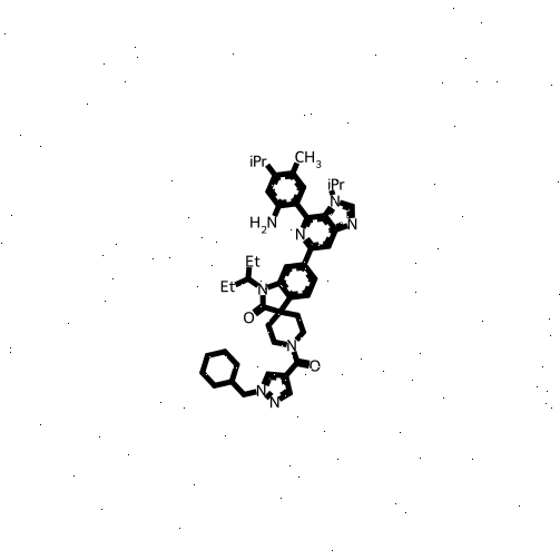 CCC(CC)N1C(=O)C2(CCN(C(=O)c3cnn(CC4CCCCC4)c3)CC2)c2ccc(-c3cc4ncn(C(C)C)c4c(-c4cc(C)c(C(C)C)cc4N)n3)cc21